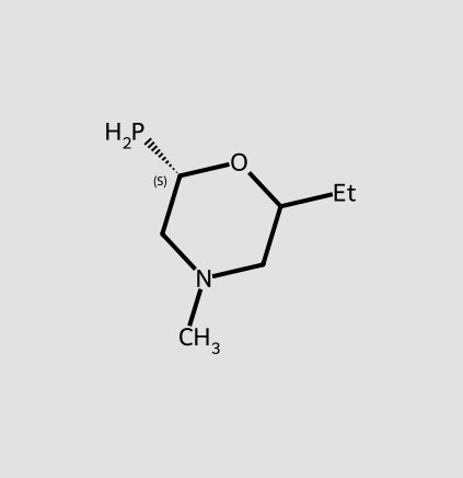 CCC1CN(C)C[C@H](P)O1